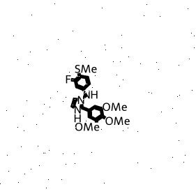 COc1cc(C2NC=CN2Nc2ccc(SC)c(F)c2)cc(OC)c1OC